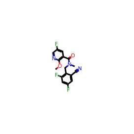 COc1ncc(F)cc1C(=O)N(C)Cc1c(F)cc(F)cc1C#N